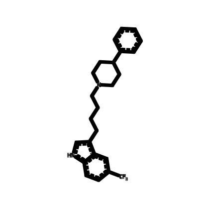 FC(F)(F)c1ccc2[nH]cc(CCCCN3CCC(c4ccccc4)CC3)c2c1